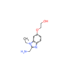 CCn1c(CN)nc2ccc(OCCO)cc21